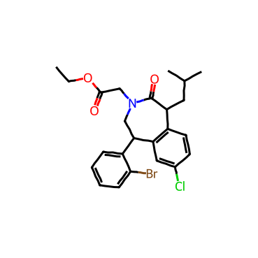 CCOC(=O)CN1CC(c2ccccc2Br)c2cc(Cl)ccc2C(CC(C)C)C1=O